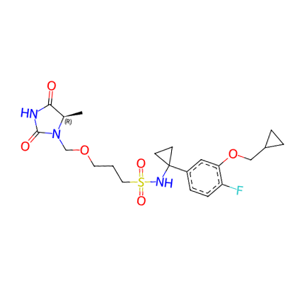 C[C@@H]1C(=O)NC(=O)N1COCCCS(=O)(=O)NC1(c2ccc(F)c(OCC3CC3)c2)CC1